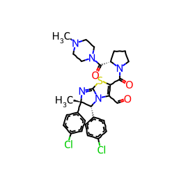 CN1CCN(C(=O)[C@@H]2CCCN2C(=O)C2=C(C=O)N3C(=N[C@@](C)(c4ccc(Cl)cc4)[C@H]3c3ccc(Cl)cc3)S2)CC1